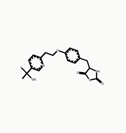 CC(O)(I)c1ccc(CCOc2ccc(CC3NC(=O)SC3=O)cc2)nc1